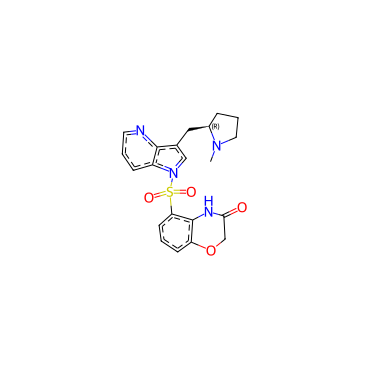 CN1CCC[C@@H]1Cc1cn(S(=O)(=O)c2cccc3c2NC(=O)CO3)c2cccnc12